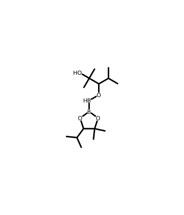 CC(C)C(OBB1OC(C(C)C)C(C)(C)O1)C(C)(C)O